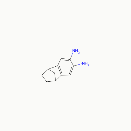 Nc1cc2c(cc1N)C1CCC2C1